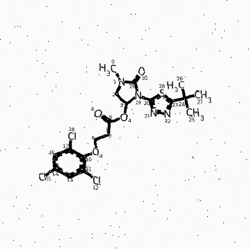 CN1CC(OC(=O)CCOc2c(Cl)cc(Cl)cc2Cl)N(c2nnc(C(C)(C)C)s2)C1=O